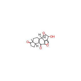 CC12CCC3=C(C(=O)c4occ5c4C3(C)[C@H]3O[C@H]3C5O)[C@@H]1CCC2=O